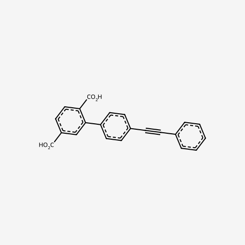 O=C(O)c1ccc(C(=O)O)c(-c2ccc(C#Cc3ccccc3)cc2)c1